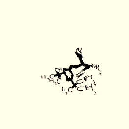 CC(C)(C)c1cc(C=C(C#N)C(N)=S)cc(C(C)(C)C)c1